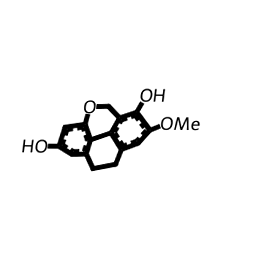 COc1cc2c3c(c1O)COc1cc(O)cc(c1-3)CC2